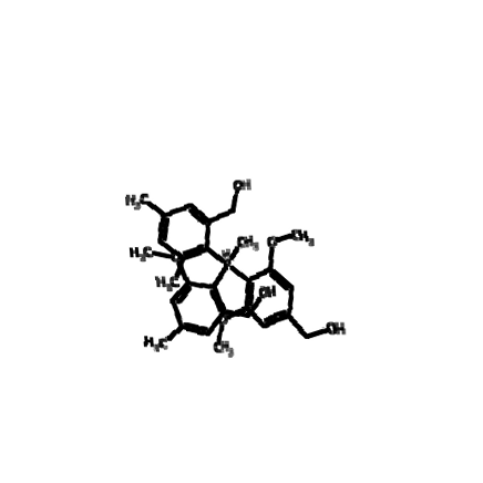 COc1cc(C)cc(CO)c1[PH](C)(c1c(C)cc(C)cc1CO)c1c(OC)cc(CO)cc1OC